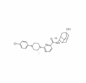 C[C@@H]1CN(c2ccc(Cl)cc2)CCN1c1nccc(C(=O)N[C@H]2C3CC4CC2C[C@](O)(C4)C3)n1